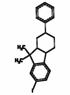 CC1(C)c2cc(I)ccc2C2CCC(c3ccccc3)CC21